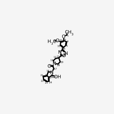 CCOc1ccc(-c2noc(C3CCN(C(=O)CN4Cc5ccccc5C4O)CC3)n2)cc1OC